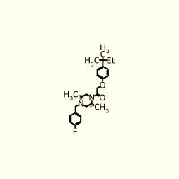 CCC(C)(C)c1ccc(OCC(=O)N2C[C@@H](C)N(Cc3ccc(F)cc3)C[C@@H]2C)cc1